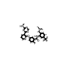 CNc1ncnc(-c2cccnc2Oc2ccc(F)c(C(=O)Nc3cc(C(F)(F)F)ccc3CN(C)C)c2)n1